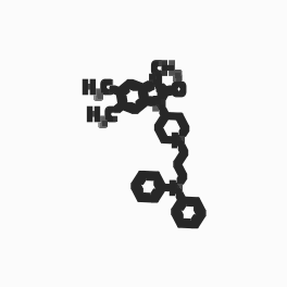 Cc1cc2c(cc1C)n(C1CCN(CCCN(c3ccccc3)c3ccccc3)CC1)c(=O)n2C